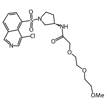 COCCOCCOCC(=O)N[C@@H]1CCN(S(=O)(=O)c2cccc3cncc(Cl)c23)C1